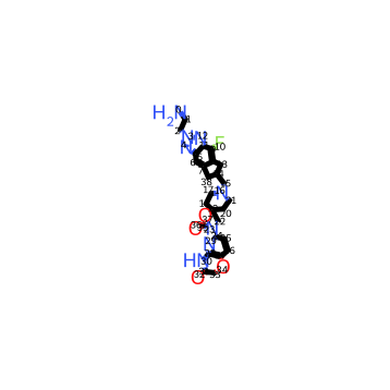 NCCn1nc2cc3c(c(F)c2n1)CC(CN1CCC2(CC1)CN(c1ccc4c(n1)NC(=O)CO4)C(=O)O2)C3